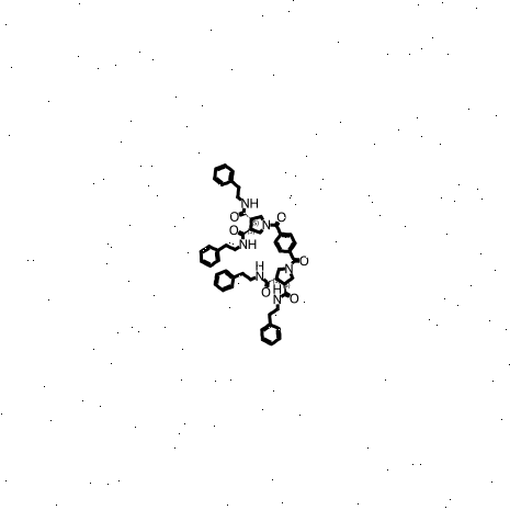 O=C(NCCc1ccccc1)[C@@H]1CN(C(=O)c2ccc(C(=O)N3C[C@@H](C(=O)NCCc4ccccc4)[C@H](C(=O)NCCc4ccccc4)C3)cc2)C[C@H]1C(=O)NCCc1ccccc1